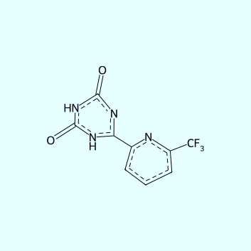 O=c1nc(-c2cccc(C(F)(F)F)n2)[nH]c(=O)[nH]1